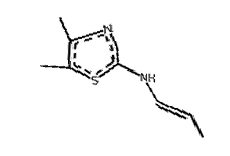 CC=CNc1nc(C)c(C)s1